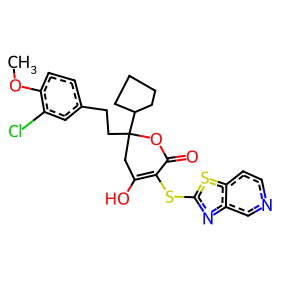 COc1ccc(CCC2(C3CCCC3)CC(O)=C(Sc3nc4cnccc4s3)C(=O)O2)cc1Cl